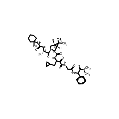 CN(C)C(=O)C(NC(=O)CNC(=O)C(=O)C(CC1CC1)NC(=O)[C@@H]1[C@@H]2[C@H](CN1C(=O)[C@@H](NC(=O)NC1(C)CCCCC1)C(C)(C)C)C2(C)C)c1ccccc1